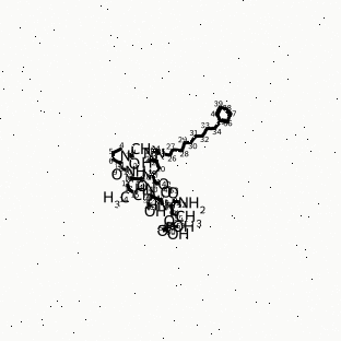 CC(=O)N1CCC[C@H]1C(=O)N[C@@H](CC(C)C)C(=O)N[C@@H](Cc1cncn1CCCCCCCCCc1ccccc1)C(=O)N[C@@H](CO)C(=O)N[C@H](C(N)=O)[C@@H](C)OP(=O)(O)O